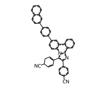 N#Cc1ccc(-c2nc3c4ccccc4c4cc(-c5ccc(-c6ccc7ccccc7c6)cc5)ccc4n3c2C2=CCC(C#N)C=C2)cc1